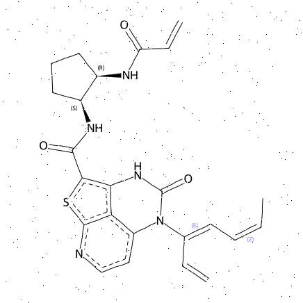 C=CC(=O)N[C@@H]1CCC[C@@H]1NC(=O)c1sc2nccc3c2c1NC(=O)N3/C(C=C)=C/C=C\C